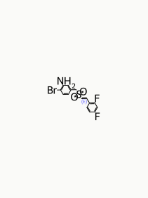 Nc1cc(CS(=O)(=O)/C=C/c2ccc(F)cc2F)ccc1Br